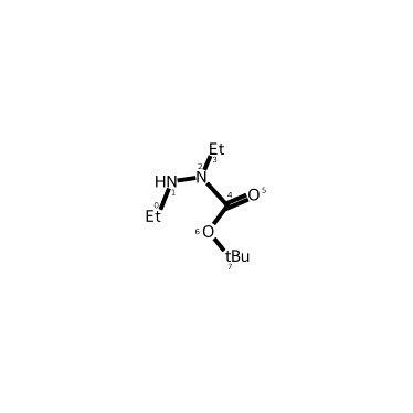 CCNN(CC)C(=O)OC(C)(C)C